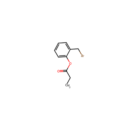 CCC(=O)Oc1ccccc1CBr